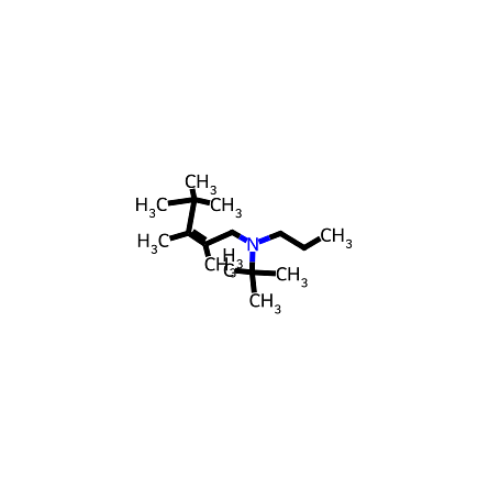 CCCN(C/C(C)=C(/C)C(C)(C)C)C(C)(C)C